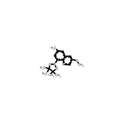 COc1cnc2c(B3OC(C)(C)C(C)(C)O3)cc(C)cc2c1